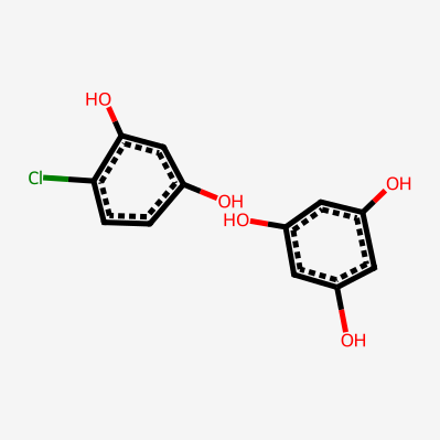 Oc1cc(O)cc(O)c1.Oc1ccc(Cl)c(O)c1